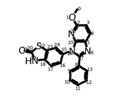 COc1ccc2nc(-c3ccccc3)n(-c3ccc4[nH]c(=O)sc4c3)c2n1